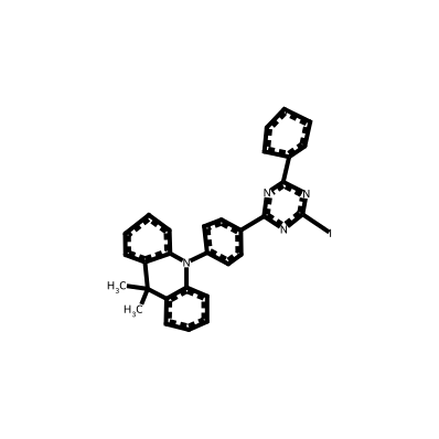 CC1(C)c2ccccc2N(c2ccc(-c3nc(I)nc(-c4ccccc4)n3)cc2)c2ccccc21